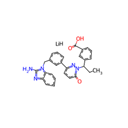 CCC(c1cccc(C(=O)O)c1)n1nc(-c2cccc(Cn3c(N)nc4ccccc43)c2)ccc1=O.[LiH]